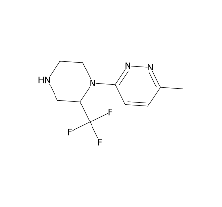 Cc1ccc(N2CCNCC2C(F)(F)F)nn1